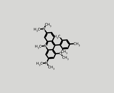 COc1cc(N(C)C)cc2c1c(-c1c(C)cc(C)cc1C)c1ccc(N(C)C)cc1[n+]2C